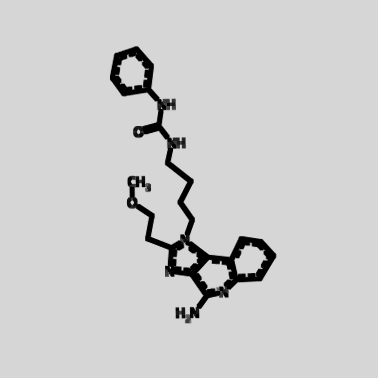 COCCc1nc2c(N)nc3ccccc3c2n1CCCCNC(=O)Nc1ccccc1